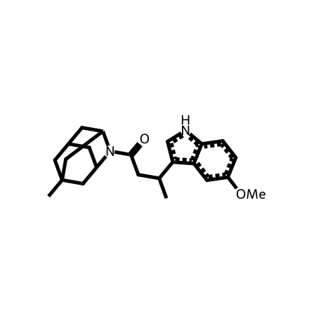 COc1ccc2[nH]cc(C(C)CC(=O)N3C4CC5CC3CC(C)(C5)C4)c2c1